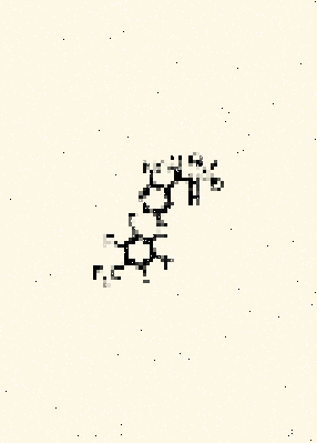 CS(=O)(=O)NC(=O)c1cc(Oc2c(F)c(F)c(C(F)(F)F)c(F)c2F)ccc1[N+](=O)[O-]